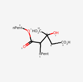 CCCCCOC(=O)C(CCCCC)C(O)(CC(=O)O)C(=O)O